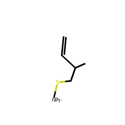 C=CC(C)CS[CH]CC